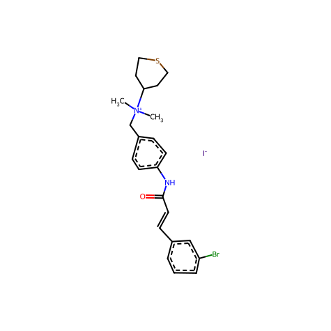 C[N+](C)(Cc1ccc(NC(=O)C=Cc2cccc(Br)c2)cc1)C1CCSCC1.[I-]